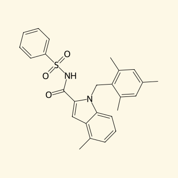 Cc1cc(C)c(Cn2c(C(=O)NS(=O)(=O)c3ccccc3)cc3c(C)cccc32)c(C)c1